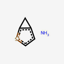 N.c1cc2c(s1)C2